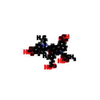 CCCC[N+]1=C(/C=C/C2=C(Oc3ccc(CCC(=O)O)cc3)C(=C/C=C3/N(CCC(C)S(=O)(=O)O)c4ccc5cc(S(=O)(=O)O)ccc5c4C3(C)C)/CCC2)C(C)(C)c2c1ccc1cc(S(=O)(=O)O)ccc21